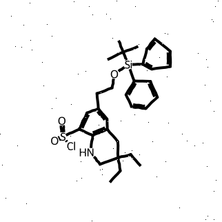 CCC1(CC)CNc2c(cc(CCO[Si](c3ccccc3)(c3ccccc3)C(C)(C)C)cc2S(=O)(=O)Cl)C1